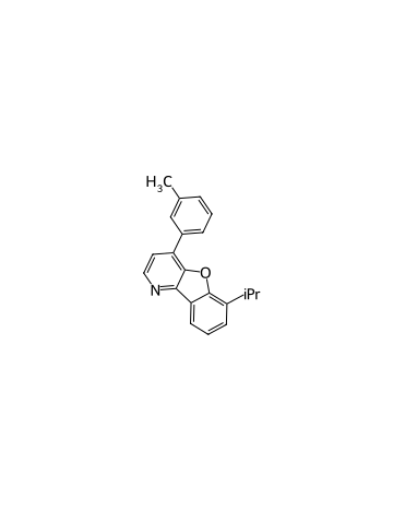 Cc1cccc(-c2ccnc3c2oc2c(C(C)C)cccc23)c1